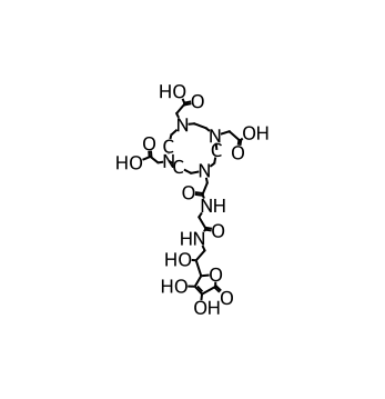 O=C(O)CN1CCN(CC(=O)O)CCN(CC(=O)NCC(=O)NCC(O)C2OC(=O)C(O)=C2O)CCN(CC(=O)O)CC1